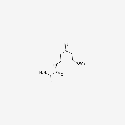 CCN(CCNC(=O)C(C)N)CCOC